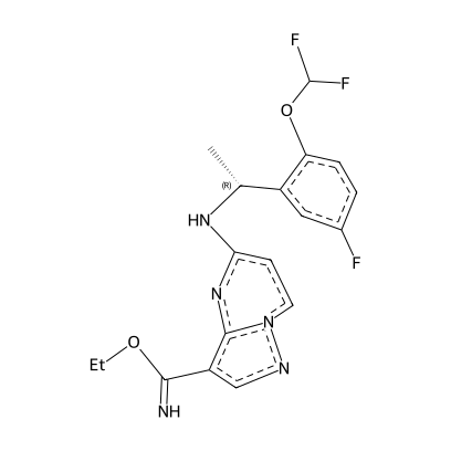 CCOC(=N)c1cnn2ccc(N[C@H](C)c3cc(F)ccc3OC(F)F)nc12